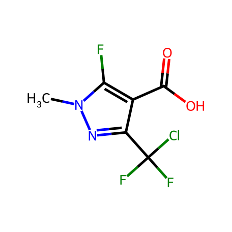 Cn1nc(C(F)(F)Cl)c(C(=O)O)c1F